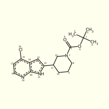 CC(C)(C)OC(=O)N1CCCC(c2cc3c(Cl)ccnc3[nH]2)C1